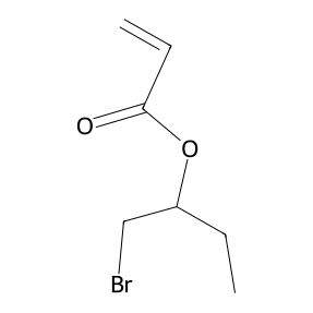 C=CC(=O)OC(CC)CBr